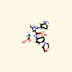 COc1cc(N2CCOCC2)ccc1NC(=O)c1cc(C)nn1-c1cccc(N)c1.O=C(O)C(F)(F)F